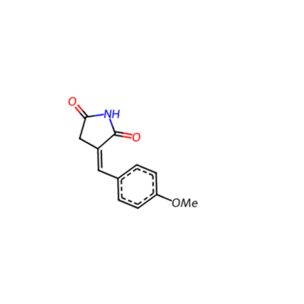 COc1ccc(C=C2CC(=O)NC2=O)cc1